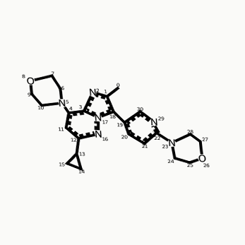 Cc1nc2c(N3CCOCC3)cc(C3CC3)nn2c1-c1ccc(N2CCOCC2)nc1